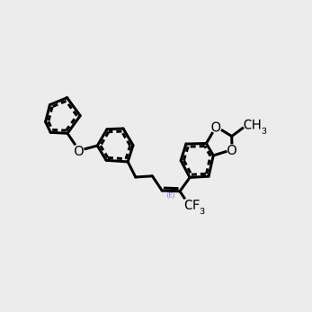 CC1Oc2ccc(/C(=C\CCc3cccc(Oc4ccccc4)c3)C(F)(F)F)cc2O1